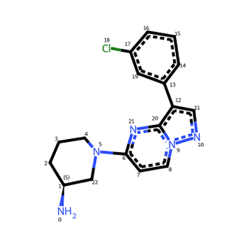 N[C@H]1CCCN(c2ccn3ncc(-c4cccc(Cl)c4)c3n2)C1